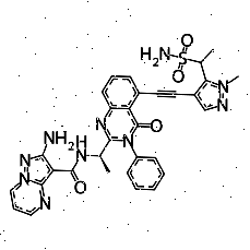 CC(c1c(C#Cc2cccc3nc([C@@H](C)NC(=O)c4c(N)nn5cccnc45)n(-c4ccccc4)c(=O)c23)cnn1C)S(N)(=O)=O